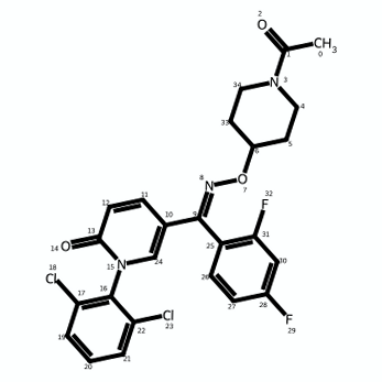 CC(=O)N1CCC(ON=C(c2ccc(=O)n(-c3c(Cl)cccc3Cl)c2)c2ccc(F)cc2F)CC1